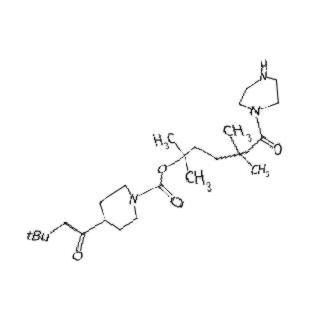 CC(C)(C)CC(=O)C1CCN(C(=O)OC(C)(C)CCC(C)(C)C(=O)N2CCNCC2)CC1